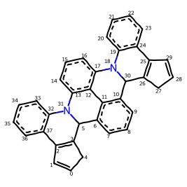 C1=CC2=C(C1)C1c3cccc4c3-c3c(cccc3N3c5ccccc5C5=C(CC=C5)C43)N1c1ccccc12